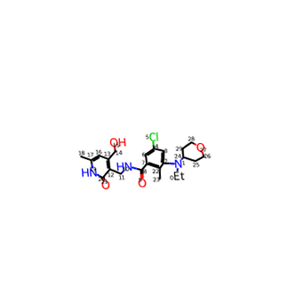 CCN(c1cc(Cl)cc(C(=O)NCc2c(CO)cc(C)[nH]c2=O)c1C)C1CCOCC1